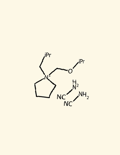 CC(C)C[N+]1(COC(C)C)CCCC1.N#CN.N#CN